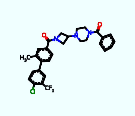 Cc1cc(C(=O)N2CC(N3CCN(C(=O)c4ccccc4)CC3)C2)ccc1-c1ccc(Cl)c(C(F)(F)F)c1